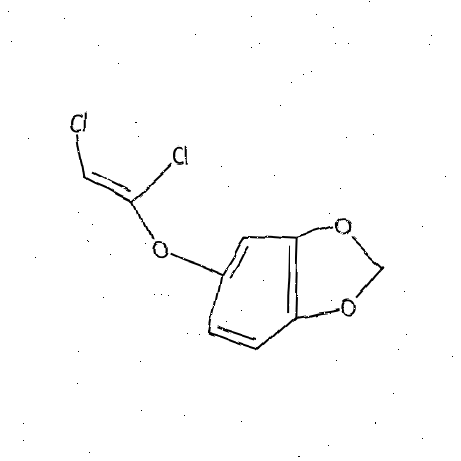 ClC=C(Cl)Oc1ccc2c(c1)OCO2